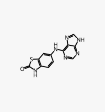 O=c1[nH]c2ccc(Nc3ncnc4[nH]cnc34)cc2s1